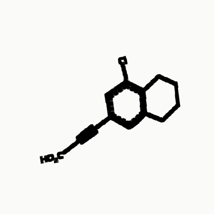 O=C(O)C#Cc1cc(Cl)c2c(c1)CCCC2